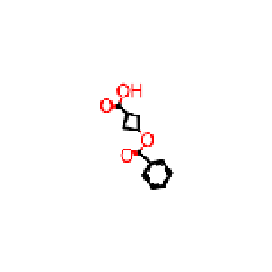 O=C(OC1CC(C(=O)O)C1)c1ccccc1